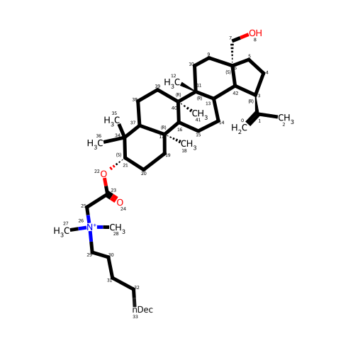 C=C(C)[C@@H]1CC[C@]2(CO)CC[C@]3(C)C(CCC4[C@@]5(C)CC[C@H](OC(=O)C[N+](C)(C)CCCCCCCCCCCCCC)C(C)(C)C5CC[C@]43C)C12